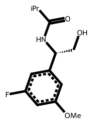 COc1cc(F)cc([C@@H](CO)NC(=O)C(C)C)c1